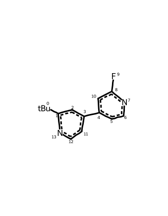 CC(C)(C)c1cc(-c2ccnc(F)c2)ccn1